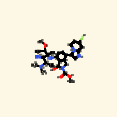 CCCOC(C)[C@](C)(Nc1ccc(-c2cnc3cc(F)ccn23)c2c1C(=O)N(C(=O)OC(C)(C)C)C2)C(=N)[C@H](C)N(C)C